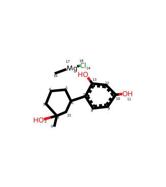 CC1(O)CCCC(c2ccc(O)cc2O)C1.[CH3][Mg][Cl]